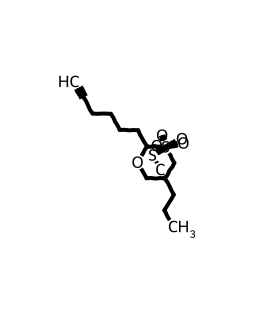 C#CCCCCC12OCC(CCC)(CS1(=O)=O)CS2(=O)=O